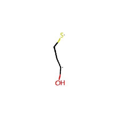 O[CH]C[S]